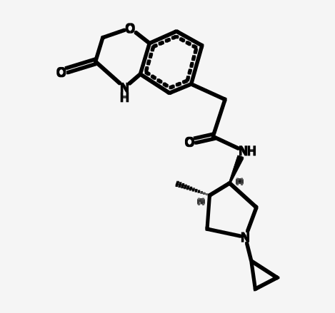 C[C@H]1CN(C2CC2)C[C@@H]1NC(=O)Cc1ccc2c(c1)NC(=O)CO2